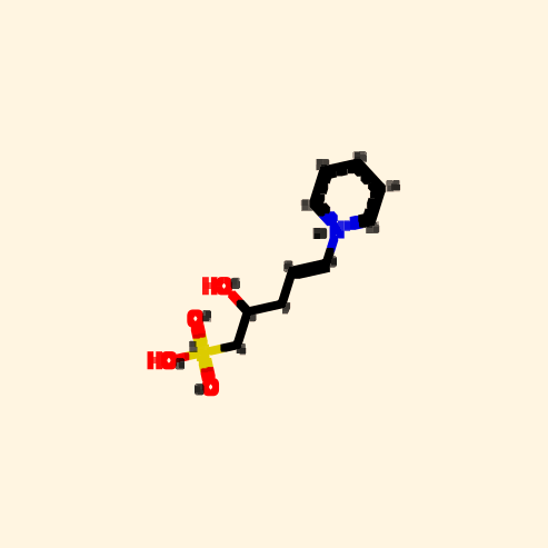 O=S(=O)(O)CC(O)CC=C[n+]1ccccc1